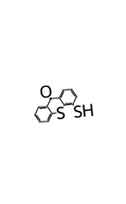 O=c1c2ccccc2sc2c(S)cccc12